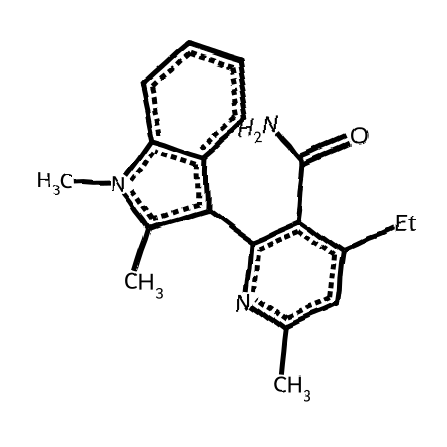 CCc1cc(C)nc(-c2c(C)n(C)c3ccccc23)c1C(N)=O